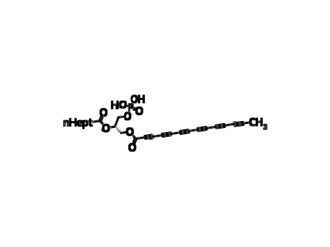 CC#CC#CC#CC#CC#CC#CC(=O)OC[C@@H](COP(=O)(O)O)OC(=O)CCCCCCC